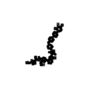 Cc1nn(C2CCN(CC3CCN(c4ccc(N5CCC(=O)NC5=O)cc4)CC3)CC2)c(C)c1-c1cc2c(-c3ccc(C(C)NC(=O)c4noc(C(C)(C)C)n4)c(CO)c3)ncnc2[nH]1